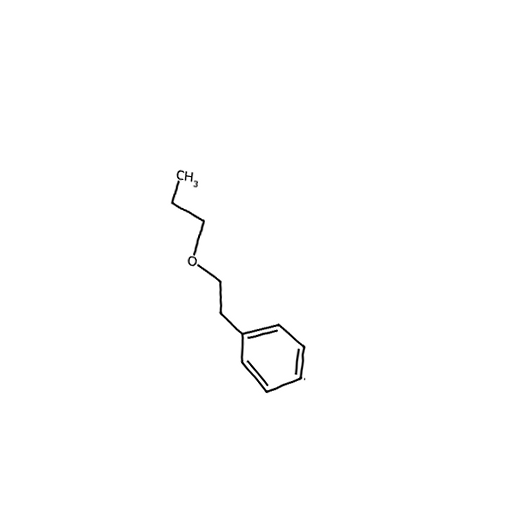 CCCOCCc1cc[c]cc1